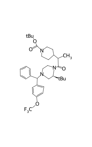 CC(C(=O)N1CCN(C(c2ccccc2)c2ccc(OC(F)(F)F)cc2)C[C@@H]1C(C)(C)C)C1CCN(C(=O)OC(C)(C)C)CC1